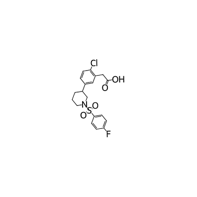 O=C(O)Cc1cc(C2CCCN(S(=O)(=O)c3ccc(F)cc3)C2)ccc1Cl